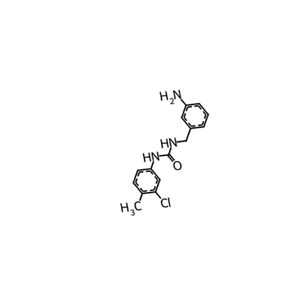 Cc1ccc(NC(=O)NCc2cccc(N)c2)cc1Cl